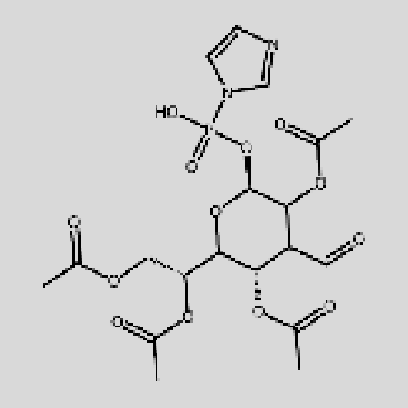 CC(=O)OC[C@@H](OC(C)=O)C1O[C@@H](OP(=O)(O)n2ccnc2)C(OC(C)=O)C(C=O)[C@@H]1OC(C)=O